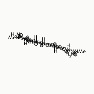 CN[C@@H](CCCCNC(=O)COCCOCCNC(=O)COCCOCCNC(=O)CCCC(=O)NCCCC[C@H](N)C(=O)NCCCC[C@H](NC)C(N)=O)C(N)=O